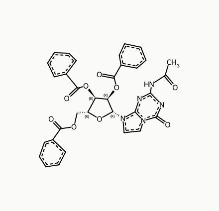 CC(=O)Nc1nc(=O)n2ccn([C@@H]3O[C@H](COC(=O)c4ccccc4)[C@@H](OC(=O)c4ccccc4)[C@H]3OC(=O)c3ccccc3)c2n1